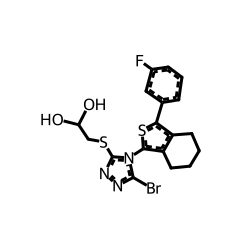 OC(O)CSc1nnc(Br)n1-c1sc(-c2cccc(F)c2)c2c1CCCC2